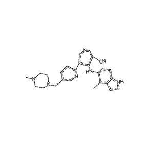 Cc1c(Nc2c(C#N)cncc2-c2ccc(CN3CCN(C)CC3)cn2)ccc2[nH]ccc12